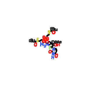 CO[C@](CN)(COP(=O)(OCCSC(=O)C(C)(C)C)OCCSC(=O)C(C)(C)C)[C@@H](O)[C@@H](F)n1ccc(=O)[nH]c1=O